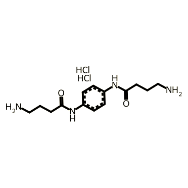 Cl.Cl.NCCCC(=O)Nc1ccc(NC(=O)CCCN)cc1